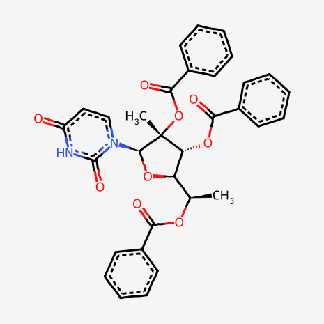 C[C@@H](OC(=O)c1ccccc1)[C@H]1O[C@@H](n2ccc(=O)[nH]c2=O)[C@](C)(OC(=O)c2ccccc2)[C@@H]1OC(=O)c1ccccc1